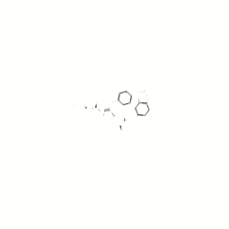 CC(C)(C)OC(=O)N[C@@H](Cc1ccccc1)[C@@H]1C[C@@H](Cc2ccc3c(c2)OCO3)C(=O)O1